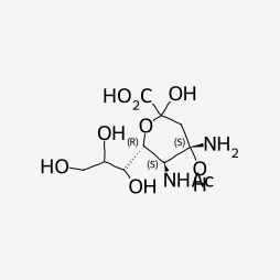 CC(=O)N[C@H]1[C@H](C(O)C(O)CO)OC(O)(C(=O)O)C[C@]1(N)O